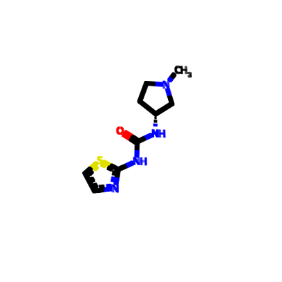 CN1CC[C@@H](NC(=O)Nc2nccs2)C1